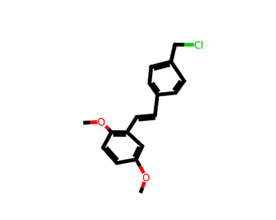 COc1ccc(OC)c(C=Cc2ccc(CCl)cc2)c1